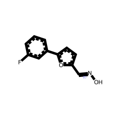 O/N=C/c1ccc(-c2cccc(F)c2)o1